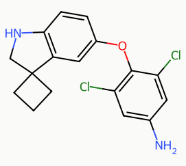 Nc1cc(Cl)c(Oc2ccc3c(c2)C2(CCC2)CN3)c(Cl)c1